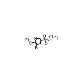 CCOc1ncc(S(=O)(=O)NCC(F)(F)F)cc1Br